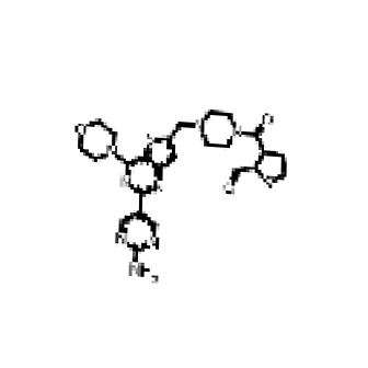 Nc1ncc(-c2nc(N3CCOCC3)c3sc(CN4CCN(C(=O)C5CCSC5C=O)CC4)cc3n2)cn1